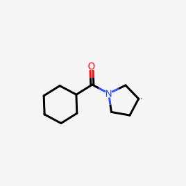 O=C(C1CCCCC1)N1C[CH]CC1